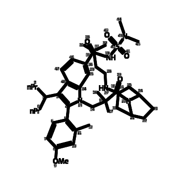 CCCC(CCC)c1c(-c2ccc(OC)cc2C)n(CC(C)(C)C(=O)N2C3CCC2CC(NCCN(C)C)C3)c2cc(C(=O)NS(=O)(=O)N(C)C)ccc12